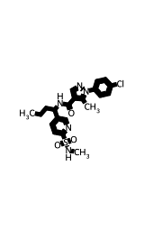 CCCC(NC(=O)c1cnn(-c2ccc(Cl)cc2)c1C)c1ccc(S(=O)(=O)NC)nc1